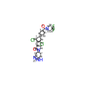 O=C(c1ccc(-c2cc(Cl)c(C[C@@H]3CCN(C4CCC5NC=NC5C4)C3=O)c(Cl)c2)cc1)N1CCC(F)(F)CC1